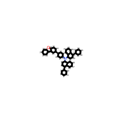 c1ccc(-c2ccc(N(c3ccc(-c4ccc5oc6ccccc6c5c4)cc3)c3ccc(-c4ccccc4)c4ccccc34)c3ccccc23)cc1